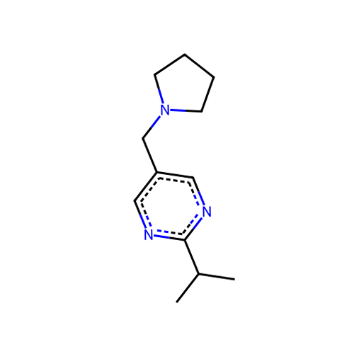 CC(C)c1ncc(CN2CCCC2)cn1